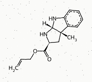 C=CCOC(=O)[C@@H]1C[C@@]2(C)c3ccccc3N[C@H]2N1